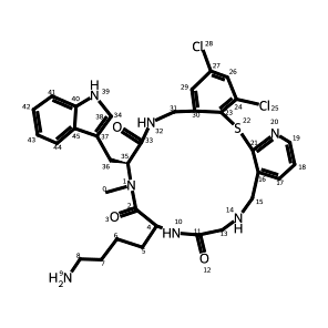 CN1C(=O)C(CCCCN)NC(=O)CNCc2cccnc2Sc2c(Cl)cc(Cl)cc2CNC(=O)[C@@H]1Cc1c[nH]c2ccccc12